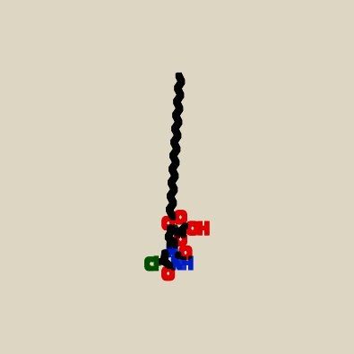 CCCCCCCCCCCCCCCCCCCCCC(=O)O[C@H]1C[C@H](n2cc(Cl)c(=O)[nH]c2=O)O[C@@H]1CO